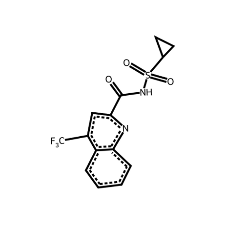 O=C(NS(=O)(=O)C1CC1)c1cc(C(F)(F)F)c2ccccc2n1